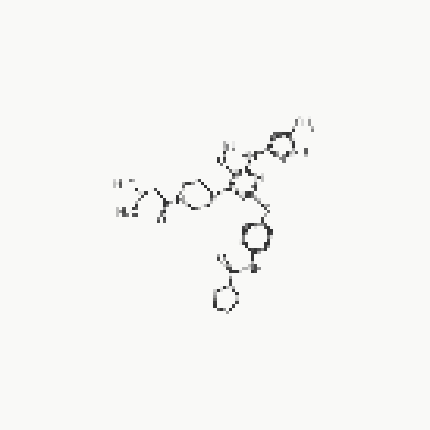 CCOc1c(Nc2cc(C)[nH]n2)nc(Sc2ccc(NC(=O)C3CCCC3)cc2)nc1N1CCN(C(=O)CN(C)C)CC1